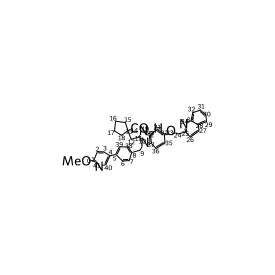 COc1ccc(-c2ccc(Cn3c(CC4(C(=O)O)CCCC4)nc4cc(OCc5ccc6ccccc6n5)ccc43)cc2)cn1